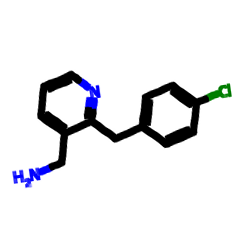 NCc1cccnc1Cc1ccc(Cl)cc1